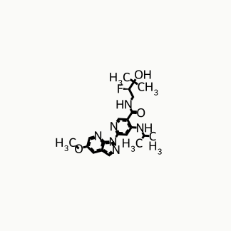 COc1cnc2c(cnn2-c2cc(NC(C)C)c(C(=O)NC[C@@H](F)C(C)(C)O)cn2)c1